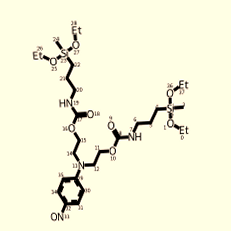 CCO[Si](C)(CCCNC(=O)OCCN(CCOC(=O)NCCC[Si](C)(OCC)OCC)c1ccc(N=O)cc1)OCC